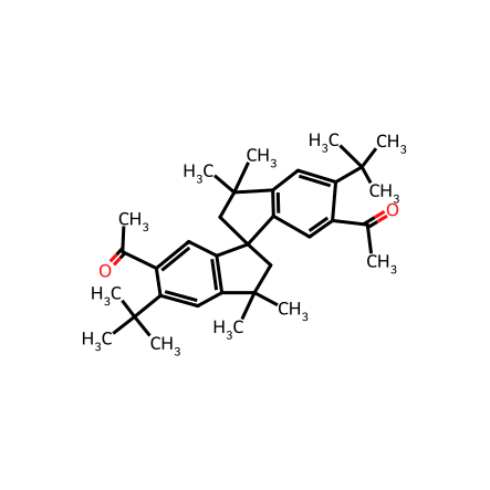 CC(=O)c1cc2c(cc1C(C)(C)C)C(C)(C)CC21CC(C)(C)c2cc(C(C)(C)C)c(C(C)=O)cc21